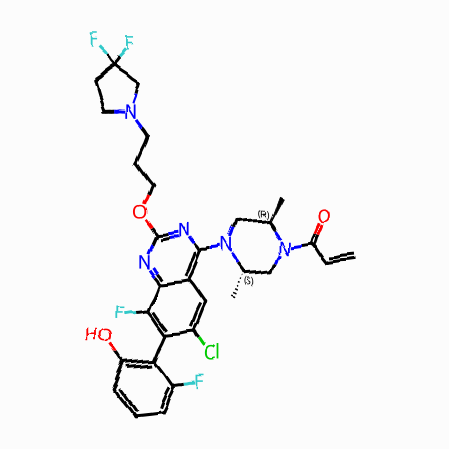 C=CC(=O)N1C[C@H](C)N(c2nc(OCCCN3CCC(F)(F)C3)nc3c(F)c(-c4c(O)cccc4F)c(Cl)cc23)C[C@H]1C